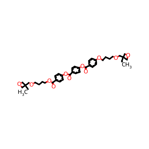 CCC1(COCCCCOC(=O)c2ccc(OC(=O)c3ccc(OC(=O)c4ccc(OCCCCOCC5(CC)COC5)cc4)cc3)cc2)COC1